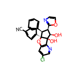 N#Cc1ccc([C@@]23Oc4cc(Cl)cnc4[C@@]2(O)[C@H](O)[C@H](c2ncco2)[C@@H]3c2ccccc2)cc1